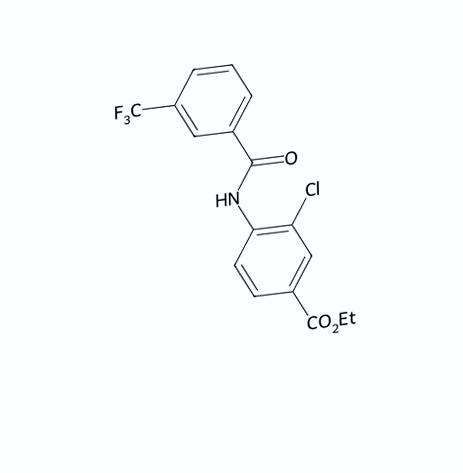 CCOC(=O)c1ccc(NC(=O)c2cccc(C(F)(F)F)c2)c(Cl)c1